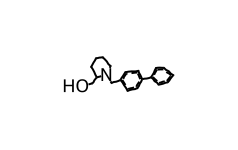 OCC1CCCCN1Cc1ccc(-c2ccccc2)cc1